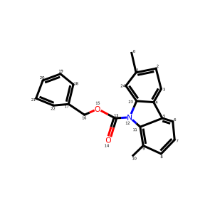 Cc1ccc2c3cccc(C)c3n(C(=O)OCc3ccccc3)c2c1